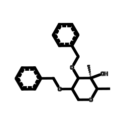 CC1OCC(OCc2ccccc2)C(OCc2ccccc2)[C@@]1(C)O